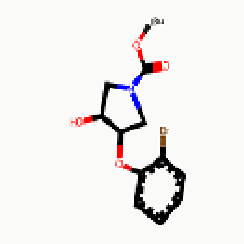 CC(C)(C)OC(=O)N1CC(O)C(Oc2ccccc2Br)C1